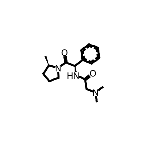 C[C@@H]1CCCN1C(=O)[C@H](NC(=O)CN(C)C)c1ccccc1